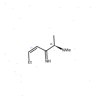 CC/C=C\C(=N)[C@@H](C)NC